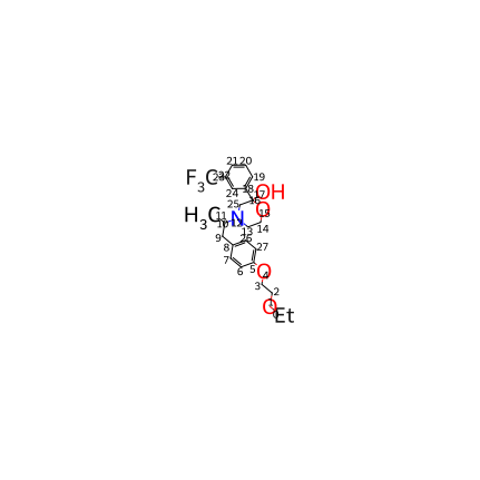 CCOCCOc1ccc(CC(C)N2CCOC(O)(c3cccc(C(F)(F)F)c3)C2)cc1